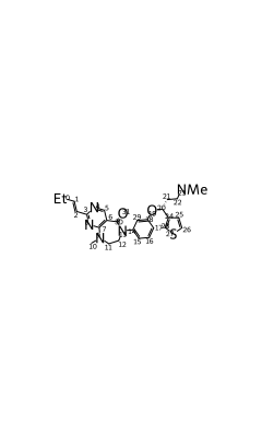 CC/C=C/c1ncc2c(n1)N(C)CCN(c1cccc(O[C@H](CCNC)c3ccsc3)c1)C2=O